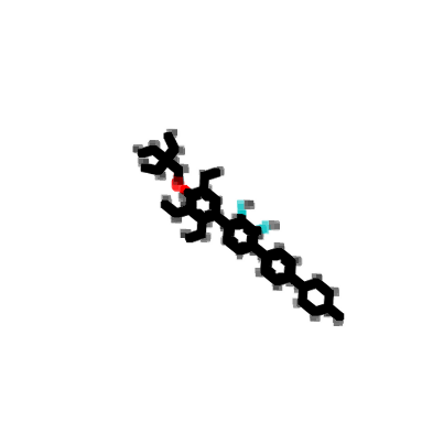 CCc1cc(-c2ccc(-c3ccc(C4CCC(C)CC4)cc3)c(F)c2F)c(CC)c(CC)c1OCC(CC)(CC)CC